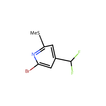 CSc1cc(C(F)F)cc(Br)n1